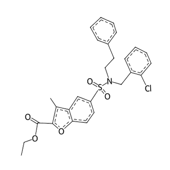 CCOC(=O)c1oc2ccc(S(=O)(=O)N(CCc3ccccc3)Cc3ccccc3Cl)cc2c1C